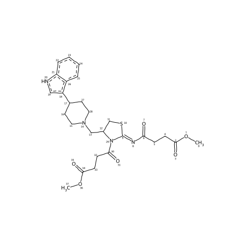 COC(=O)CCC(=O)N=C1SCC(CN2CCC(c3c[nH]c4ccccc34)CC2)N1C(=O)CCC(=O)OC